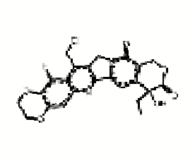 CC[C@@]1(O)C(=O)OCc2c1cc1n(c2=O)Cc2c-1nc1cc3c(c(F)c1c2CCl)OCCO3